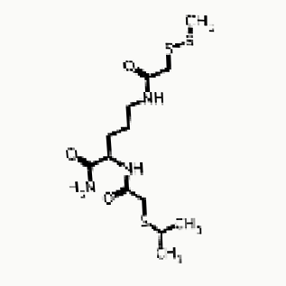 CSSCC(=O)NCCCC(NC(=O)CSC(C)C)C(N)=O